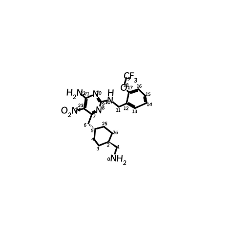 NC[C@H]1CC[C@H](Cc2nc(NCc3ccccc3OC(F)(F)F)nc(N)c2[N+](=O)[O-])CC1